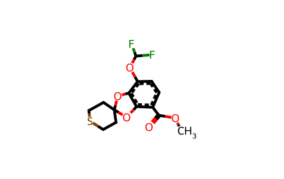 COC(=O)c1ccc(OC(F)F)c2c1OC1(CCSCC1)O2